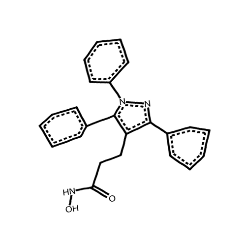 O=C(CCc1c(-c2ccccc2)nn(-c2ccccc2)c1-c1ccccc1)NO